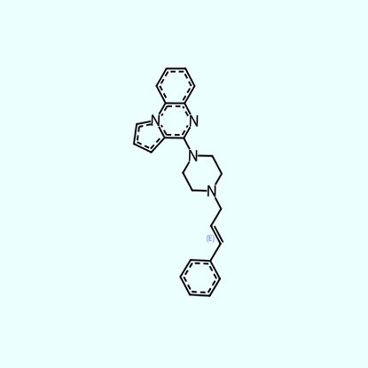 C(=C\c1ccccc1)/CN1CCN(c2nc3ccccc3n3cccc23)CC1